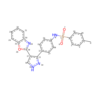 Cc1ccc(S(=O)(=O)Nc2ccc(-c3n[nH]cc3-c3nc4ccccc4o3)cc2)cc1